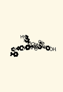 CC(C)c1ccccc1[C@@H]1CCCN1C1CC2(CCN(c3ccc(C(=O)NS(=O)(=O)c4ccc(NC[C@H]5CC[C@](C)(O)CC5)c([N+](=O)[O-])n4)c(Oc4cnc5[nH]ccc5c4)c3)CC2)C1